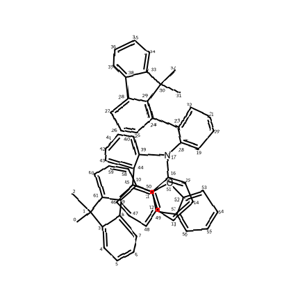 CC1(C)c2ccccc2-c2c(-c3ccccc3N(c3ccccc3-c3cccc4c3C(C)(C)c3ccccc3-4)c3ccccc3-c3cccc4c3oc3ccccc34)cccc21